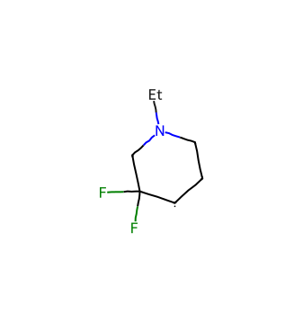 CCN1CC[CH]C(F)(F)C1